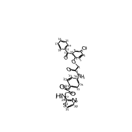 O=C(COc1ccc(Cl)cc1C(=O)c1ccccc1)Nc1ccc(S(=O)(=O)Nc2nccs2)cc1